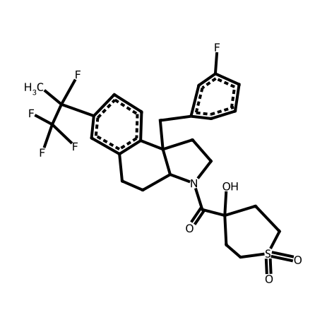 CC(F)(c1ccc2c(c1)CCC1N(C(=O)C3(O)CCS(=O)(=O)CC3)CCC21Cc1cccc(F)c1)C(F)(F)F